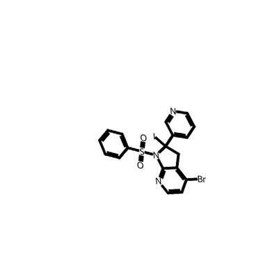 O=S(=O)(c1ccccc1)N1c2nccc(Br)c2CC1(I)c1cccnc1